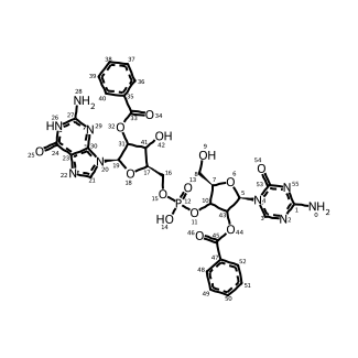 Nc1ncn([C@@H]2O[C@H](CO)C(OP(=O)(O)OC[C@H]3O[C@@H](n4cnc5c(=O)[nH]c(N)nc54)C(OC(=O)c4ccccc4)C3O)C2OC(=O)c2ccccc2)c(=O)n1